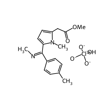 CN=C(c1ccc(C)cc1)c1ccc(CC(=O)OC)n1C.[O-][Cl+3]([O-])([O-])O